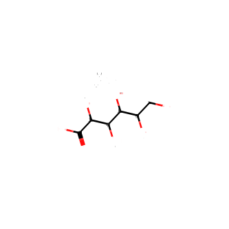 O=C(O)C(O)C(O)C(O)C(O)CO.[MgH2].[MgH2]